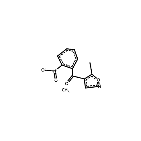 C.Cc1oncc1C(=O)c1ccccc1[N+](=O)[O-]